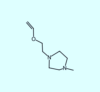 C=COCCN1CCN(C)CC1